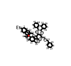 CCc1ccc(Cc2c(C)sc3cc4c(cc23)[C@]2(OC4)O[C@H](COCc3ccccc3)[C@H](OCc3ccccc3)[C@H](OCc3ccccc3)[C@H]2OCc2ccccc2)cc1